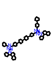 c1ccc(-c2ccc(-c3nc(-c4ccc(-c5ccc(-c6ccc(-c7ccc(-c8nc(-c9ccccc9)nc(-n9c%10ccccc%10c%10c%11ccccc%11ccc%109)n8)cc7)cc6)cc5)cc4)nc(-n4c5ccccc5c5c6ccccc6ccc54)n3)cc2)cc1